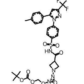 Cc1ccc(-c2cc(C(F)(F)F)nn2-c2ccc(S(=O)(=O)NC(=O)C3CN(n4on4OCOC(=O)OC(C)(C)C)C3)cc2)cc1